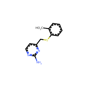 Nc1nccc(CSc2ccccc2C(=O)O)n1